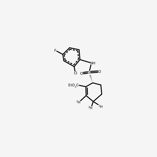 [2H]C1=C(C(=O)OCC)[C@H](S(=O)(=O)Nc2ccc(F)cc2Cl)CCC1([2H])[2H]